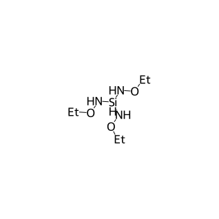 CCON[SiH](NOCC)NOCC